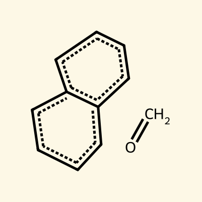 C=O.c1ccc2ccccc2c1